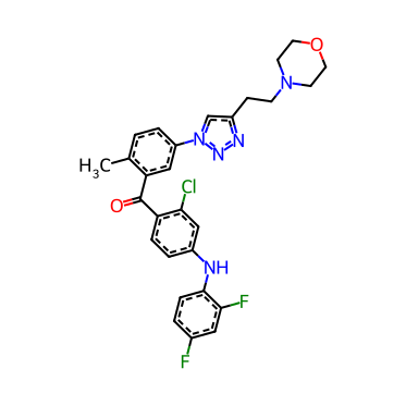 Cc1ccc(-n2cc(CCN3CCOCC3)nn2)cc1C(=O)c1ccc(Nc2ccc(F)cc2F)cc1Cl